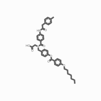 CCCCCCCOc1ccc(C(=O)Oc2ccc(CN(CC(=O)O)C(=O)c3ccc(NC(=O)Cc4ccc(C)cc4)cc3)cc2)cc1